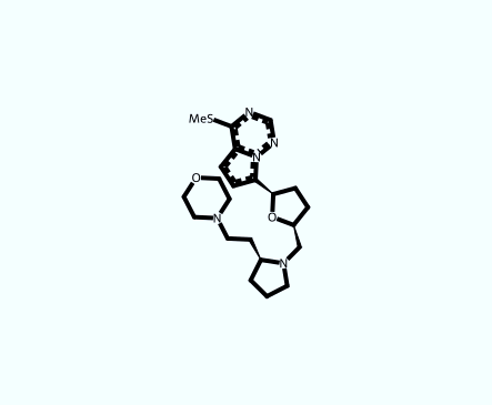 CSc1ncnn2c([C@H]3CC[C@@H](CN4CCC[C@H]4CCN4CCOCC4)O3)ccc12